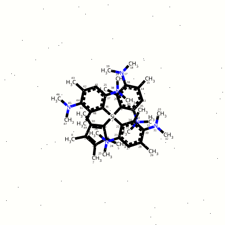 CC1=C(C)C(C)C([Si](c2c(N(C)C)cc(C)c(N(C)C)c2C)(c2c(N(C)C)cc(C)c(N(C)C)c2C)c2c(N(C)C)cc(C)c(N(C)C)c2C)=C1C